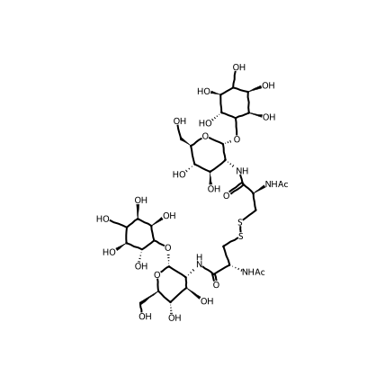 CC(=O)N[C@@H](CSSC[C@H](NC(C)=O)C(=O)N[C@H]1[C@@H](OC2[C@H](O)[C@H](O)C(O)[C@H](O)[C@H]2O)O[C@H](CO)[C@@H](O)[C@@H]1O)C(=O)N[C@H]1[C@@H](OC2[C@H](O)[C@H](O)C(O)[C@H](O)[C@H]2O)O[C@H](CO)[C@@H](O)[C@@H]1O